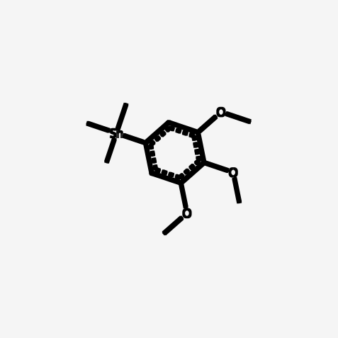 COc1c[c]([Sn]([CH3])([CH3])[CH3])cc(OC)c1OC